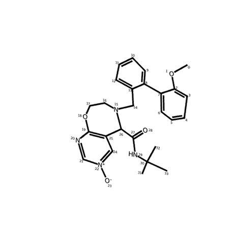 COc1ccccc1-c1ccccc1CN1CCOc2nc[n+]([O-])cc2C1C(=O)NC(C)(C)C